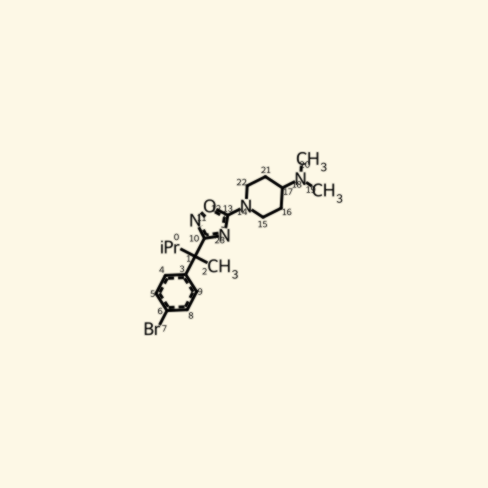 CC(C)C(C)(c1ccc(Br)cc1)c1noc(N2CCC(N(C)C)CC2)n1